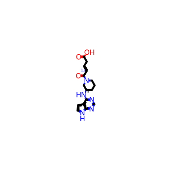 O=C(O)C/C=C/C(=O)N1CCC[C@@H](Nc2ncnc3[nH]ccc23)C1